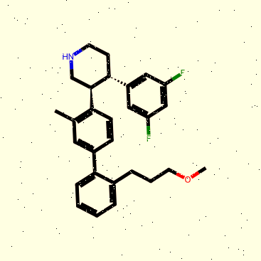 COCCCc1ccccc1-c1ccc([C@H]2CNCC[C@@H]2c2cc(F)cc(F)c2)c(C)c1